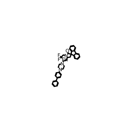 O=C(NCC(F)(F)F)C1(CCCCN2CCN(c3ccc(-c4ccccc4)cc3)CC2)c2ccccc2-c2ccccc21